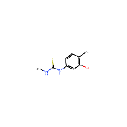 CC(C)NC(=S)Nc1ccc(C(C)C)c(O)c1